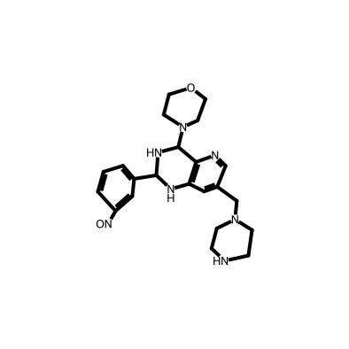 O=Nc1cccc(C2Nc3cc(CN4CCNCC4)cnc3C(N3CCOCC3)N2)c1